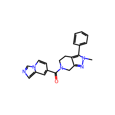 Cn1nc2c(c1-c1ccccc1)CCN(C(=O)c1ccn3cncc3c1)C2